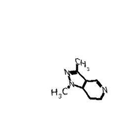 CC1=NN(C)C2CCN=CC12